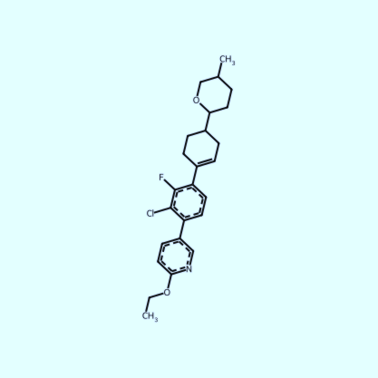 CCOc1ccc(-c2ccc(C3=CCC(C4CCC(C)CO4)CC3)c(F)c2Cl)cn1